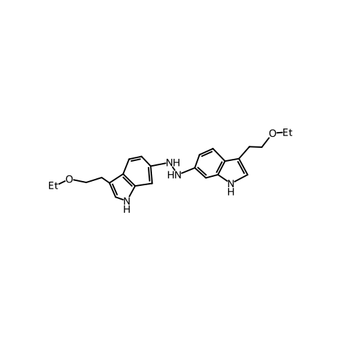 CCOCCc1c[nH]c2cc(NNc3ccc4c(CCOCC)c[nH]c4c3)ccc12